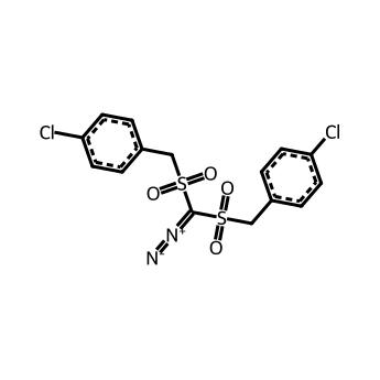 [N-]=[N+]=C(S(=O)(=O)Cc1ccc(Cl)cc1)S(=O)(=O)Cc1ccc(Cl)cc1